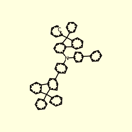 c1ccc(-c2ccc(N(c3ccc(-c4ccc5c(c4)-c4ccccc4C5(c4ccccc4)c4ccccc4)cc3)c3cccc4c3-c3ccccc3C4(c3ccccc3)c3ccccc3)cc2)cc1